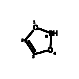 B1O[C]=CO1